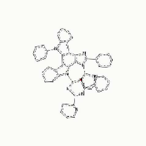 c1ccc(-c2nc3c4c5ccccc5n(-c5ccccc5)c4c4c5ccccc5n(-c5nc(-c6ccccn6)nc(-c6ccccn6)n5)c4c3n2-c2ccccc2)cc1